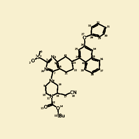 C[S+]([O-])c1nc2c(c(N3CCN(C(=O)OC(C)(C)C)C(CC#N)C3)n1)CCC(c1cc(Oc3ccccc3)cc3ccccc13)C2